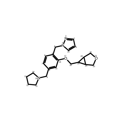 c1cnn(Cc2ccc(CN3CCCC3)cc2OCC2C3COCC32)c1